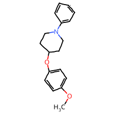 COc1ccc(OC2CCN(c3cc[c]cc3)CC2)cc1